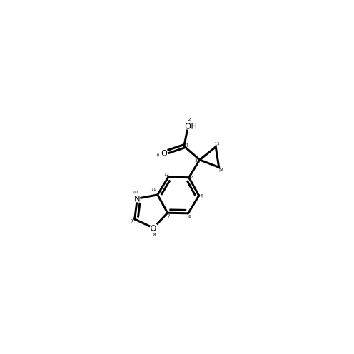 O=C(O)C1(c2ccc3ocnc3c2)CC1